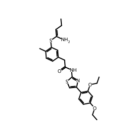 CC/C=C(\N)Sc1cc(CC(=O)Nc2nc(-c3ccc(OCC)cc3OCC)cs2)ccc1C